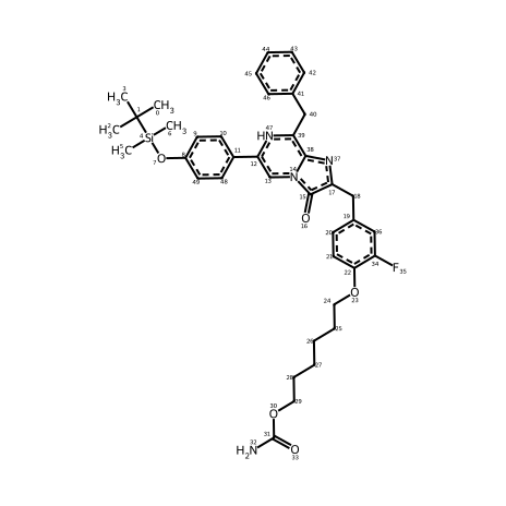 CC(C)(C)[Si](C)(C)Oc1ccc(-c2cn3c(=O)c(Cc4ccc(OCCCCCCOC(N)=O)c(F)c4)nc-3c(Cc3ccccc3)[nH]2)cc1